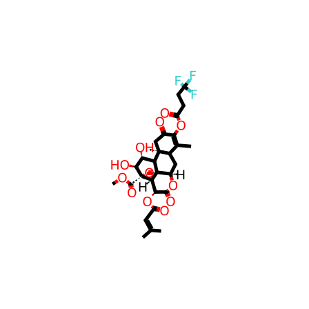 COC(=O)[C@@]12OC[C@]34C([C@@H](O)[C@@H]1O)[C@@]1(C)CC(=O)C(OC(=O)CCC(F)(F)F)=C(C)C1C[C@H]3OC(=O)[C@H](OC(=O)C=C(C)C)[C@@H]24